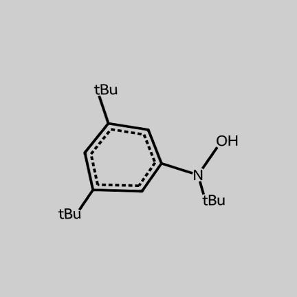 CC(C)(C)c1cc(N(O)C(C)(C)C)cc(C(C)(C)C)c1